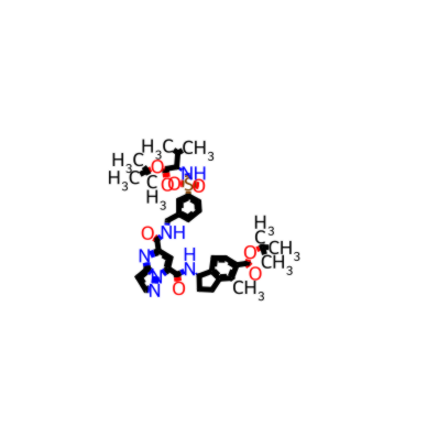 Cc1c(C(=O)OC(C)(C)C)ccc2c1CC[C@@H]2NC(=O)c1cc(C(=O)NCc2cccc(S(=O)(=O)N[C@@H](C(=O)OC(C)(C)C)C(C)C)c2)nc2ccnn12